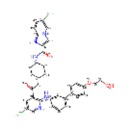 O=C(N[C@H]1CC[C@@H](CC(=O)c2cc(F)cnc2Nc2cccc(-c3ccc(OCCO)cc3)c2)CC1)c1cn2cc(F)ccc2n1